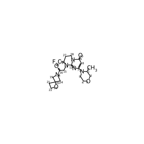 CC1COCCN1c1cc(=O)n2c(n1)N(CC(=O)N1CC3(CCO3)C1)C(C(F)(F)F)CC2